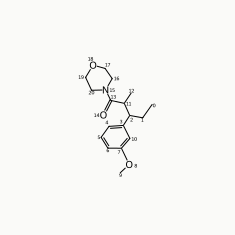 CCC(c1cccc(OC)c1)C(C)C(=O)N1CCOCC1